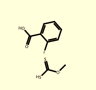 COC(=S)S.O=C(O)c1ccccc1I